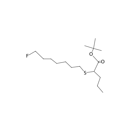 CCCC(SCCCCCCCF)C(=O)OC(C)(C)C